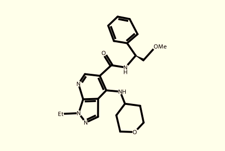 CCn1ncc2c(NC3CCOCC3)c(C(=O)N[C@H](COC)c3ccccc3)cnc21